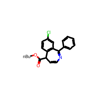 CCCCOC(=O)C1C=CN=C(c2ccccc2)c2cc(Cl)ccc21